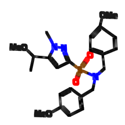 COc1ccc(CN(Cc2ccc(OC)cc2)S(=O)(=O)c2cc(C(C)OC)n(C)n2)cc1